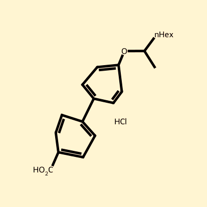 CCCCCCC(C)Oc1ccc(-c2ccc(C(=O)O)cc2)cc1.Cl